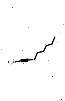 CCCCCCC#[C][SbH2]